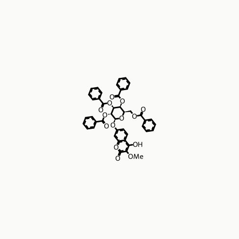 COc1c(O)c2ccc(O[C@@H]3O[C@H](COC(=O)c4ccccc4)[C@H](OC(=O)c4ccccc4)[C@H](OC(=O)c4ccccc4)[C@H]3OC(=O)c3ccccc3)cc2oc1=O